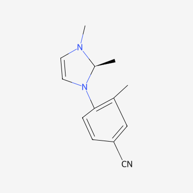 Cc1cc(C#N)ccc1N1C=CN(C)[C@H]1C